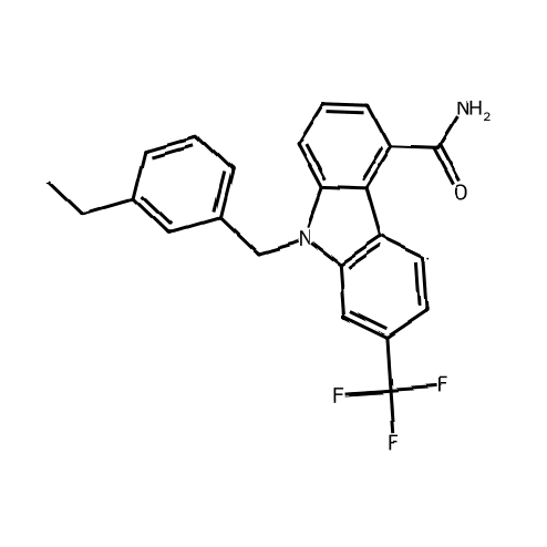 CCc1cccc(Cn2c3cc(C(F)(F)F)c[c]c3c3c(C(N)=O)cccc32)c1